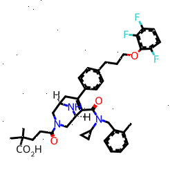 Cc1ccccc1CN(C(=O)C1=C(c2ccc(CCCOc3c(F)ccc(F)c3F)cc2)C[C@@H]2CN(C(=O)CCC(C)(C)C(=O)O)C[C@H]1N2)C1CC1